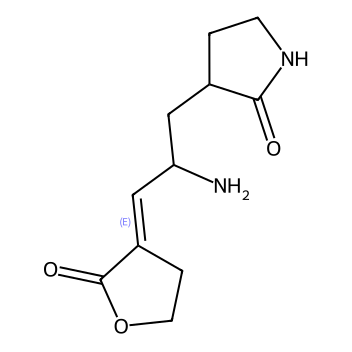 NC(/C=C1\CCOC1=O)CC1CCNC1=O